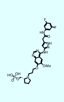 COc1cc2c(Nc3cc(CC(=O)Nc4cc(F)cc(F)c4)[nH]n3)ncnc2cc1OCCCN1CCC[C@@H]1COP(=O)(O)O